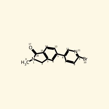 CN1Cc2cc(-c3ccc(Br)nc3)ccc2C1=O